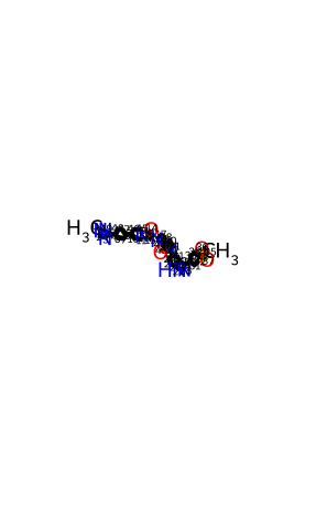 Cn1cnc(-c2ccc(C3=CCN(C(=O)CN4CC[C@]5(CCN(c6ccc7[nH]nc(-c8ccc(S(C)(=O)=O)cc8)c7c6)C5=O)C4)CC3)cc2)n1